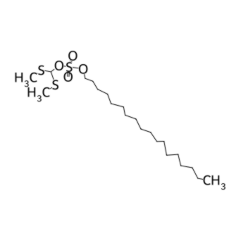 CCCCCCCCCCCCCCCCCCOS(=O)(=O)OC(SC)SC